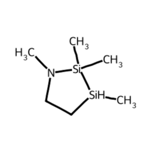 CN1CC[SiH](C)[Si]1(C)C